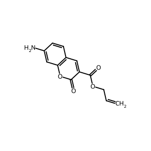 C=CCOC(=O)c1cc2ccc(N)cc2oc1=O